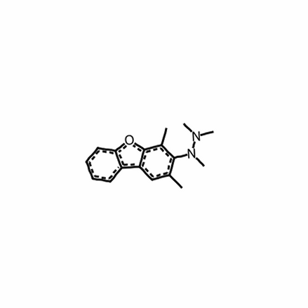 Cc1cc2c(oc3ccccc32)c(C)c1N(C)N(C)C